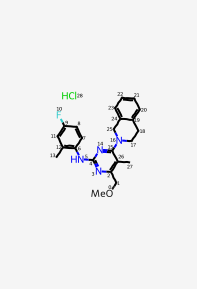 COCc1nc(Nc2ccc(F)cc2C)nc(N2CCc3ccccc3C2)c1C.Cl